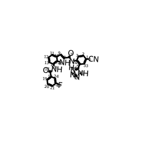 N#Cc1ccc(NC(=O)c2cc3cccc(NC(=O)c4cccc(F)c4)c3[nH]2)c(-c2nnn[nH]2)c1